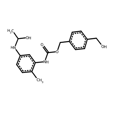 Cc1ccc(NC(C)O)cc1NC(=O)OCc1ccc(CO)cc1